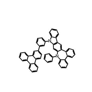 c1ccc(N2c3ccccc3-c3ccccc3-c3cc4c5ccccc5n(-c5cccc(-c6ccc7c8ccccc8c8ccccc8c7c6)c5)c4cc32)cc1